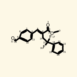 COC(=O)/C(=C/c1ccc(C=O)cc1)CC(F)(F)c1ccccc1